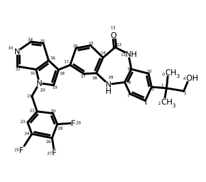 CC(C)(CO)c1ccc2c(c1)NC(=O)c1ccc(-c3cn(Cc4cc(F)c(F)c(F)c4)c4cnccc34)cc1N2